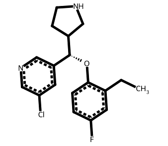 CCc1cc(F)ccc1O[C@H](c1cncc(Cl)c1)C1CCNC1